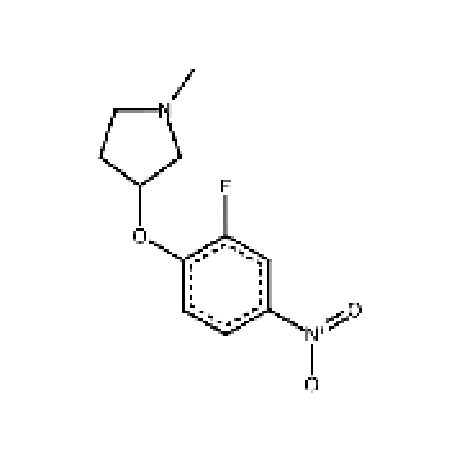 CN1CCC(Oc2ccc([N+](=O)[O-])cc2F)C1